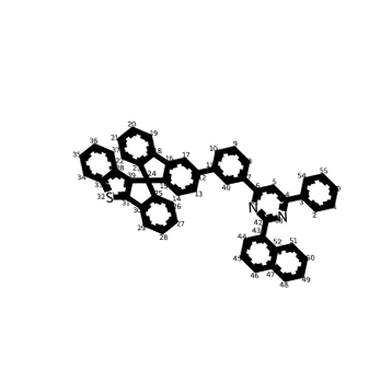 c1ccc(-c2cc(-c3cccc(-c4ccc5c(c4)-c4ccccc4C54c5ccccc5-c5sc6ccccc6c54)c3)nc(-c3cccc4ccccc34)n2)cc1